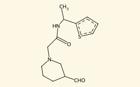 CC(NC(=O)CN1CCCC(C=O)C1)c1cccs1